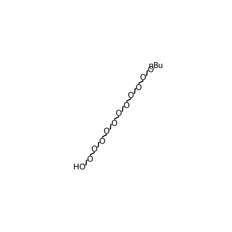 CCCCOCCOCCOCCOCCOCCOCCOCCOCCOCCOCCOCCO